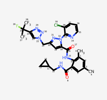 Cc1cc(C#N)cc(C(=O)NCC2CC2)c1NC(=O)c1cc(Cn2cc(C(F)(C(F)(F)F)C(F)(F)F)nn2)nn1-c1ncccc1Cl